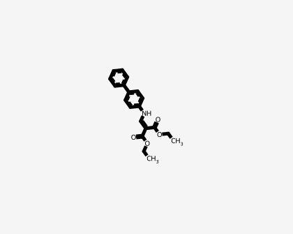 CCOC(=O)C(=CNc1ccc(-c2ccccc2)cc1)C(=O)OCC